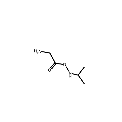 CC(C)NOC(=O)CN